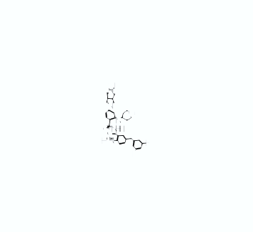 CN1CC2CN(c3ccc(C(=O)Nc4n[nH]c5ccc(Cc6cc(F)cc(F)c6)cc45)c(NC4CCOCC4)c3)CC2C1